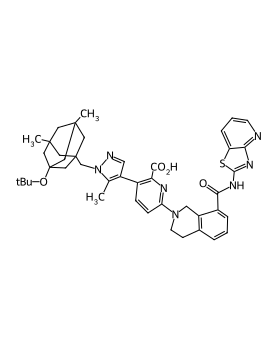 Cc1c(-c2ccc(N3CCc4cccc(C(=O)Nc5nc6ncccc6s5)c4C3)nc2C(=O)O)cnn1CC12CC3(C)CC(C)(C1)CC(OC(C)(C)C)(C3)C2